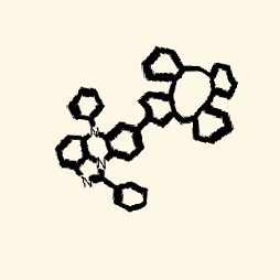 c1ccc(-c2nc3cccc4c3n2-c2ccc(-c3ccc5c(c3)Cc3ccccc3-c3ccccc3Cc3ccccc3-5)cc2N4c2ccccc2)cc1